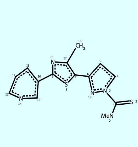 CNC(=S)n1ccc(-c2sc(-c3cccnc3)nc2C)n1